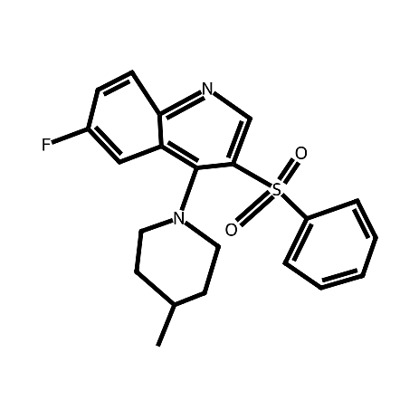 CC1CCN(c2c(S(=O)(=O)c3ccccc3)cnc3ccc(F)cc23)CC1